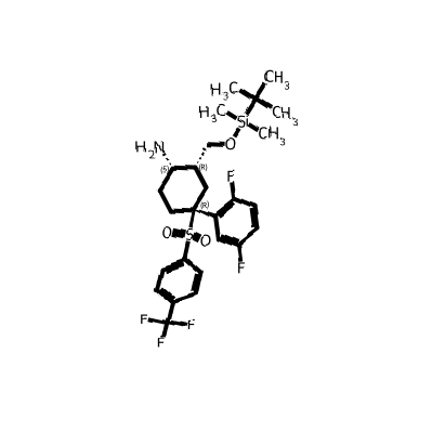 CC(C)(C)[Si](C)(C)OC[C@@H]1C[C@](c2cc(F)ccc2F)(S(=O)(=O)c2ccc(C(F)(F)F)cc2)CC[C@@H]1N